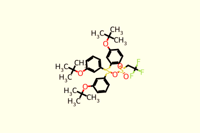 CC(C)(C)Oc1cccc(S(OS(=O)(=O)CC(F)(F)F)(c2cccc(OC(C)(C)C)c2)c2cccc(OC(C)(C)C)c2)c1